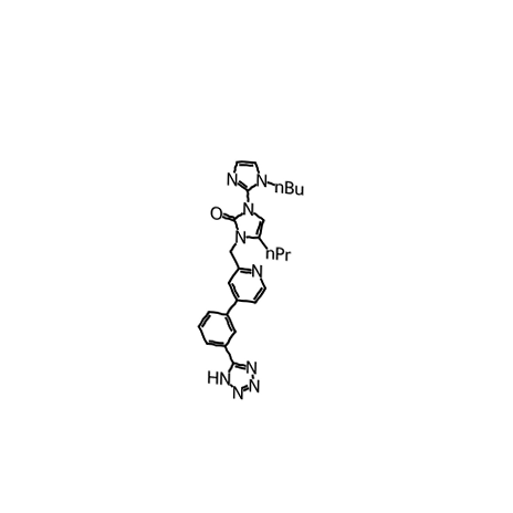 CCCCn1ccnc1-n1cc(CCC)n(Cc2cc(-c3cccc(-c4nnn[nH]4)c3)ccn2)c1=O